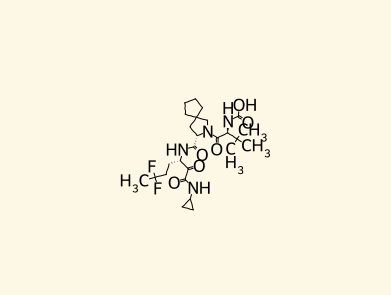 CC(F)(F)CC[C@H](NC(=O)[C@@H]1CC2(CCCC2)CN1C(=O)[C@@H](NC(=O)O)C(C)(C)C)C(=O)C(=O)NC1CC1